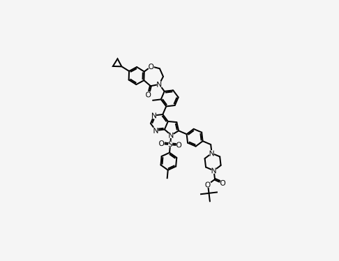 Cc1ccc(S(=O)(=O)n2c(-c3ccc(CN4CCN(C(=O)OC(C)(C)C)CC4)cc3)cc3c(-c4cccc(N5CCOc6cc(C7CC7)ccc6C5=O)c4C)ncnc32)cc1